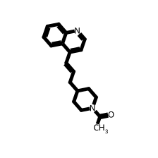 CC(=O)N1CCC(CC=Cc2ccnc3ccccc23)CC1